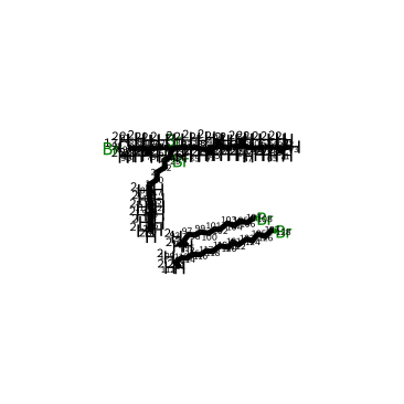 [2H]C([2H])([2H])C([2H])([2H])C([2H])([2H])C([2H])([2H])C([2H])([2H])C([2H])([2H])CCCCCC(Br)C(Br)(C([2H])([2H])C([2H])([2H])C([2H])([2H])C([2H])([2H])C([2H])([2H])C([2H])([2H])C([2H])([2H])C([2H])([2H])C([2H])([2H])C([2H])([2H])C([2H])([2H])C([2H])([2H])C([2H])([2H])C([2H])([2H])C([2H])([2H])[2H])C([2H])([2H])C([2H])([2H])C([2H])([2H])C([2H])([2H])C([2H])([2H])[13C]([2H])([2H])Br.[2H]C([2H])([2H])CCCCCCCCCCCBr.[2H]C([2H])([2H])CCCCCCCCCCCCCCCBr